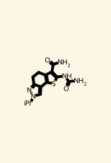 CC(C)n1cc2c(n1)CCc1c-2sc(NC(N)=O)c1C(N)=O